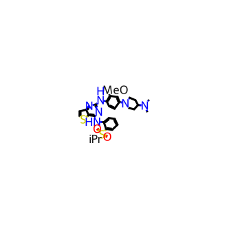 COc1cc(N2CCC(N(C)C)CC2)ccc1Nc1nc(Nc2ccccc2S(=O)(=O)C(C)C)c2sccc2n1